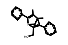 CC1=C(c2ccccc2)P2CC1(C)C(c1ccccc1)=C2CO